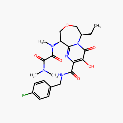 CC[C@@H]1COC[C@H](N(C)C(=O)C(=O)N(C)C)c2nc(C(=O)NCc3ccc(F)cc3)c(O)c(=O)n21